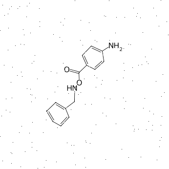 Nc1ccc(C(=O)ONCc2ccccc2)cc1